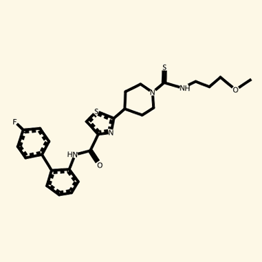 COCCCNC(=S)N1CCC(c2nc(C(=O)Nc3ccccc3-c3ccc(F)cc3)cs2)CC1